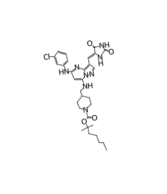 CCCCCC(C)(C)OC(=O)N1CCC(CNc2cc(Nc3cccc(Cl)c3)nc3c(/C=C4\NC(=O)NC4=O)cnn23)CC1